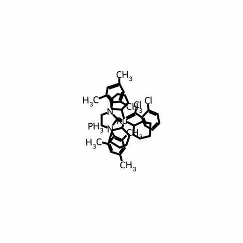 Cc1cc(C)c(N2CCN(c3c(C)cc(C)cc3C)[C]2=[Ru](=[C](Cl)c2ccccc2Cl)([CH]2CCCCC2)([CH]2CCCCC2)[CH]2CCCCC2)c(C)c1.P